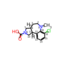 CN1CC[C@@H]2CN(C(=O)O)C[C@H]2c2cccc(Cl)c21